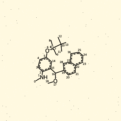 CNc1ccc(O[Si](C)(C)C(C)(C)C)cc1C(OC)c1ccc2ccccc2c1